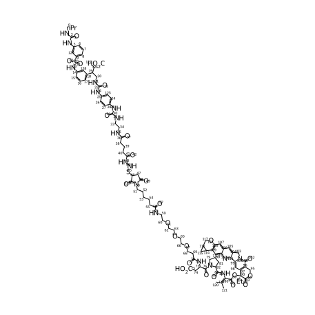 CCCNC(=O)Nc1cccc(S(=O)(=O)Nc2cccc(C(CNC(=O)Nc3ccc(NC(=O)NCCNC(=O)CCCC(=O)NNSC4CC(=O)N(CCCCCC(=O)NCCOCCOCCOCCC(=O)NC(CC(=O)O)C(=O)N5CCCC5C(=O)NC(C(=O)O[C@]5(CC)C(=O)OCc6c5cc5n(c6=O)Cc6cc7cc8c(cc7nc6-5)C5CC5CO8)=C(C)C)C4=O)cc3)CC(=O)O)c2)c1